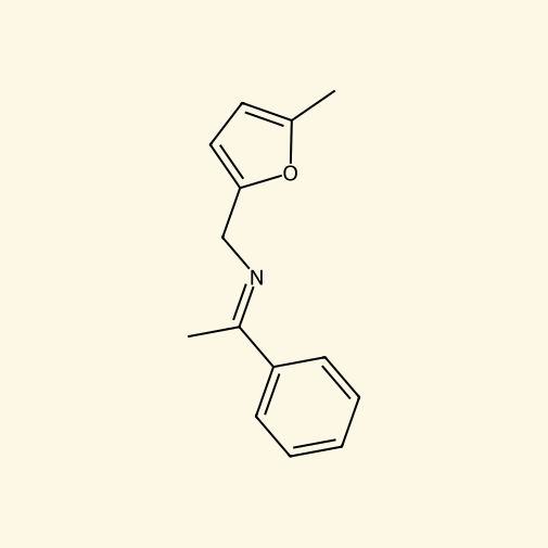 C/C(=N\Cc1ccc(C)o1)c1ccccc1